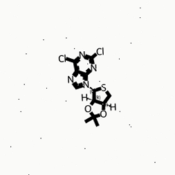 CC1(C)O[C@H]2[C@H](n3cnc4c(Cl)nc(Cl)nc43)SC[C@H]2O1